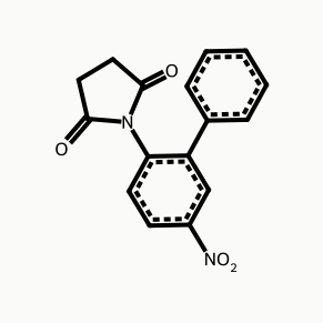 O=C1CCC(=O)N1c1ccc([N+](=O)[O-])cc1-c1ccccc1